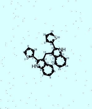 c1csc(-c2[nH]c3ccccc3c2Cc2c(-c3cccs3)[nH]c3ccccc23)c1